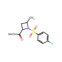 COC(=O)C1CC(C)N1S(=O)(=O)c1ccc(F)cc1